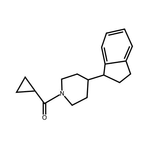 O=C(C1CC1)N1CCC(C2CCc3ccccc32)CC1